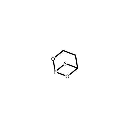 C1CC2OP(O1)S2